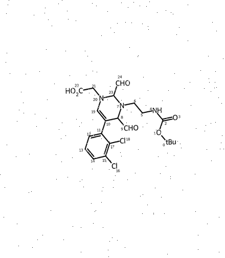 CC(C)(C)OC(=O)NCCN1C(C=O)C(c2cccc(Cl)c2Cl)=CN(CC(=O)O)C1C=O